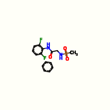 CS(=O)(=O)NCC(=O)Nc1c(F)cccc1F.c1ccccc1